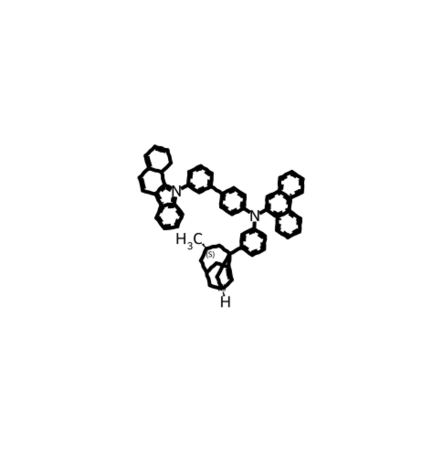 C[C@H]1CC2CC3=C[C@@H](C2)CC3(c2cccc(N(c3ccc(-c4cccc(-n5c6c(c7ccccc75)C=CC5=CC=CCC56)c4)cc3)c3cc4ccccc4c4ccccc34)c2)C1